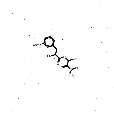 CSc1cccc(CC(N)C(=O)OC(C(=O)N(C)C)C(C)C)c1